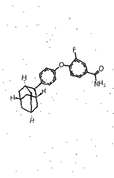 NC(=O)c1ccc(Oc2ccc(C3[C@H]4C[C@@H]5C[C@@H](C[C@H]3C5)C4)cc2)c(F)c1